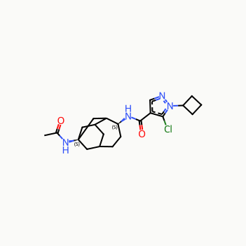 CC(=O)N[C@]12CC3CC[C@H](NC(=O)c4cnn(C5CCC5)c4Cl)C(C1)C(C3)C2